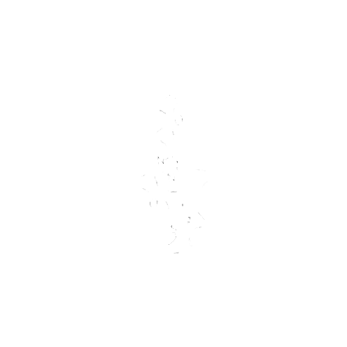 C1=CCC(c2nc(-c3ccc4c(c3)oc3ccccc34)nc(-c3cccc4oc5cc(-c6cccc7c6sc6ccccc67)ccc5c34)n2)C=C1